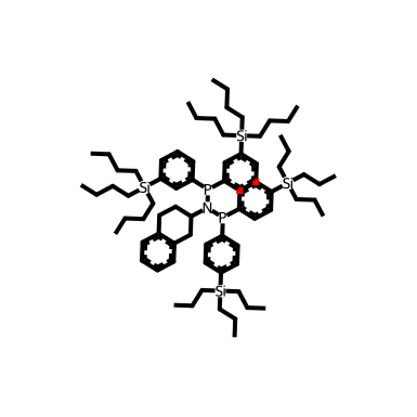 CCCC[Si](CCCC)(CCCC)c1cccc(P(c2cccc([Si](CCCC)(CCCC)CCCC)c2)N(C2CCc3ccccc3C2)P(c2ccc([Si](CCC)(CCC)CCC)cc2)c2ccc([Si](CCC)(CCC)CCC)cc2)c1